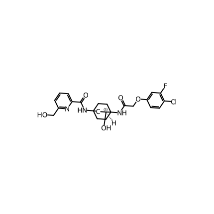 O=C(COc1ccc(Cl)c(F)c1)NC12CCC(NC(=O)c3cccc(CO)n3)(CC1)C[C@@H]2O